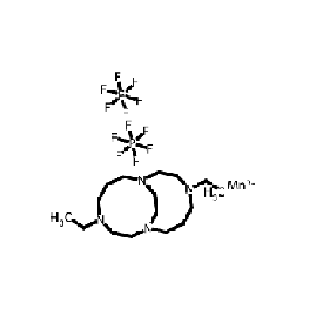 CCN1CCCN2CCN(CC)CCCN(CC1)CC2.F[P-](F)(F)(F)(F)F.F[P-](F)(F)(F)(F)F.[Mn+2]